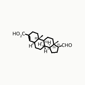 C[C@]12CCC(C(=O)O)=C[C@@H]1CC[C@@H]1[C@@H]2CC[C@]2(C)[C@@H](C=O)CC[C@@H]12